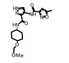 COCO[C@H]1CC[C@H](NC(=O)c2n[nH]cc2NC(=O)c2cc(C)on2)CC1